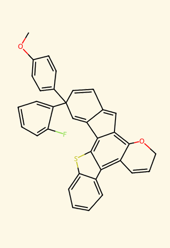 COc1ccc(C2(c3ccccc3F)C=CC3=Cc4c5c(c6c(sc7ccccc76)c4C3=C2)C=CCO5)cc1